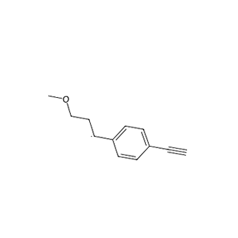 C#Cc1ccc([CH]CCOC)cc1